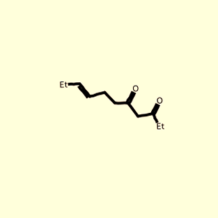 CC/C=C/CCC(=O)CC(=O)CC